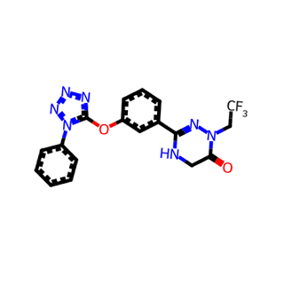 O=C1CNC(c2cccc(Oc3nnnn3-c3ccccc3)c2)=NN1CC(F)(F)F